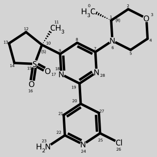 C[C@@H]1COCCN1c1cc([C@]2(C)CCCS2(=O)=O)nc(-c2cc(N)nc(Cl)c2)n1